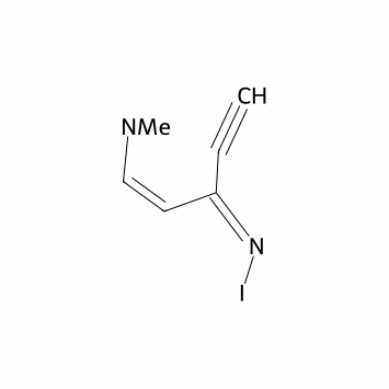 C#CC(/C=C\NC)=N/I